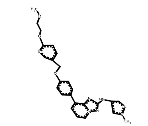 COCCOc1ccc(COc2ccc(-c3cccn4nc(Nc5cnn(C)c5)nc34)cc2)cn1